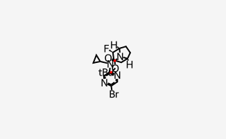 CC(C)(C)OC(=O)N1[C@@H]2CC[C@H]1[C@H](F)C(N(c1cnc(Br)cn1)C1CC1)C2